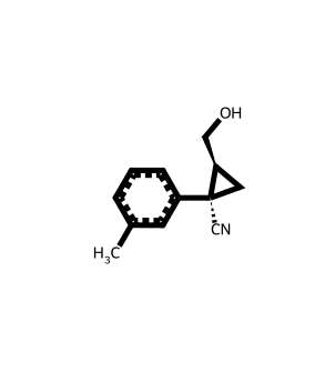 Cc1cccc([C@]2(C#N)C[C@@H]2CO)c1